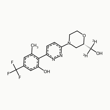 [2H]C([2H])(O)[C@@H]1CN(c2ccc(-c3c(C)cc(C(F)(F)F)cc3O)nn2)CCO1